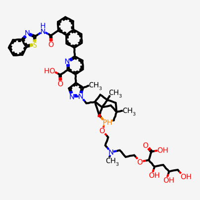 Cc1c(-c2ccc(-c3ccc4cccc(C(=O)Nc5nc6ccccc6s5)c4c3)nc2C(=O)O)cnn1CC12CC3(C)CC4(C)CC31C[PH](OCCN(C)CCCOC(C(=O)O)C(O)CC(O)CO)(C4)C2